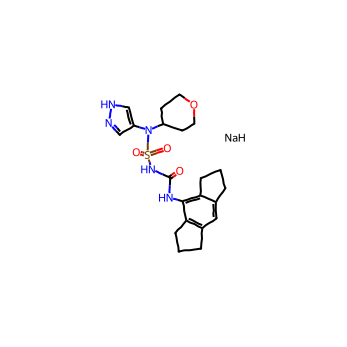 O=C(Nc1c2c(cc3c1CCC3)CCC2)NS(=O)(=O)N(c1cn[nH]c1)C1CCOCC1.[NaH]